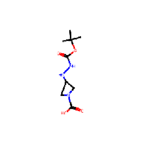 CC(C)(C)OC(=O)NNC1CN(C(=O)O)C1